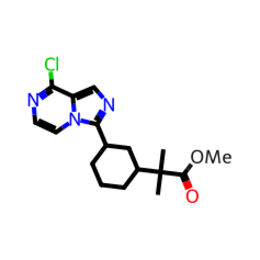 COC(=O)C(C)(C)C1CCCC(c2ncc3c(Cl)nccn23)C1